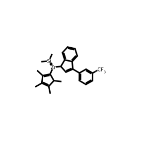 CC1=C(C)C(C)[C]([Zr]([CH]2C=C(c3cccc(C(F)(F)F)c3)c3ccccc32)=[Si](C)C)=C1C